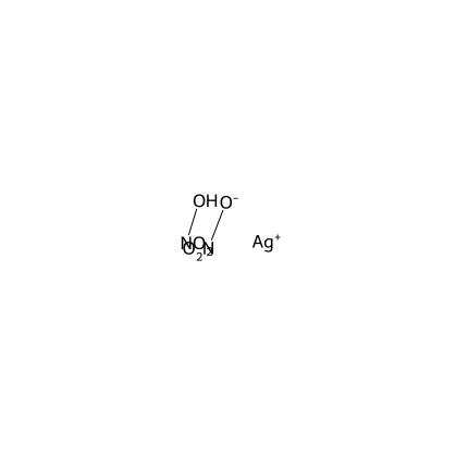 O=[N+]([O-])O.O=[N+]([O-])[O-].[Ag+]